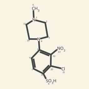 CN1CCN(c2ccc(S(=O)(=O)O)c(Cl)c2[N+](=O)[O-])CC1